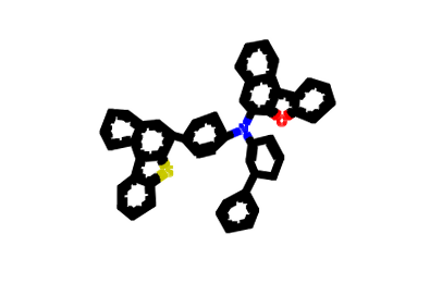 c1c(-c2cc3ccccc3c3c2sc2ccccc23)ccc(N(C2=CC(c3ccccc3)CC=C2)c2cc3ccccc3c3c2oc2ccccc23)c#1